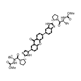 CC[C@H](C)[C@H](NC(=O)OC)C(=O)N1CCC[C@H]1c1ncc(-c2ccc3oc4cc(-c5ccc6nc([C@@H]7CCCN7C(=O)[C@@H](NC(=O)OC)C(C)C)[nH]c6c5)ccc4c(=O)c3c2)[nH]1